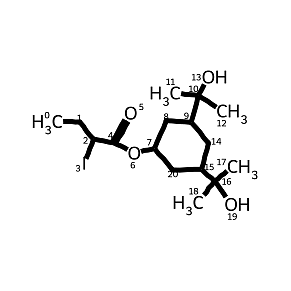 CCC(I)C(=O)OC1CC(C(C)(C)O)CC(C(C)(C)O)C1